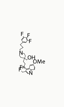 COc1ccc2ncc(CF)c([C@H](F)CCC3(CO)CCN(CCCc4cc(F)c(F)c(F)c4)CC3)c2c1